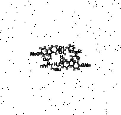 CCCN(CCC(C)(C)C)C(=O)Cn1c2c(c3ccc(OC)cc31)CCC(C)(C)C2.CCN(C(=O)Cn1c2c(c3ccc(OC)cc31)CCC(C)(C)C2)c1nccs1